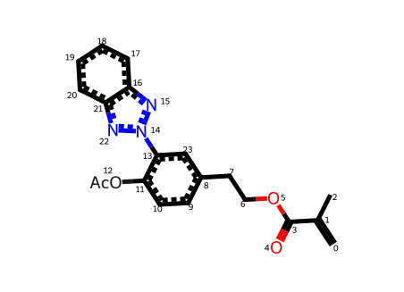 C=C(C)C(=O)OCCc1ccc(OC(C)=O)c(-n2nc3ccccc3n2)c1